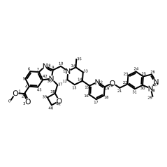 COC(=O)c1ccc2nc(CN3CCC(c4cccc(OCc5ccc6cnn(C)c6c5)n4)CC3C)n(CC3CCO3)c2c1